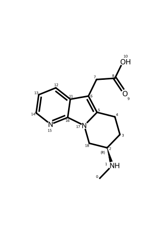 CN[C@@H]1CCc2c(CC(=O)O)c3cccnc3n2C1